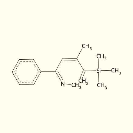 C=C(/C(C)=C\C(=N/C)c1ccccc1)[Si](C)(C)C